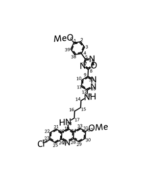 COc1ccc(-c2noc(-c3ccc(NCCCCNc4c5ccc(Cl)cc5nc5ccc(OC)cc45)nn3)n2)cc1